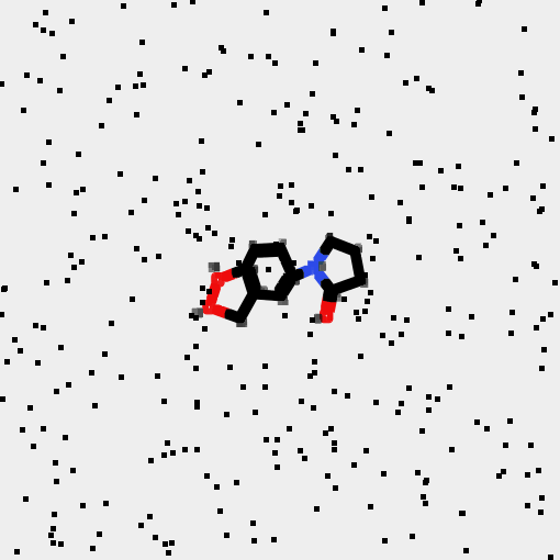 O=C1CCCN1c1ccc2c(c1)COO2